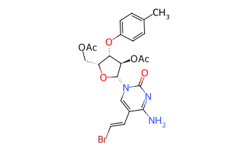 CC(=O)OC[C@H]1O[C@@H](n2cc(C=CBr)c(N)nc2=O)[C@H](OC(C)=O)[C@H]1Oc1ccc(C)cc1